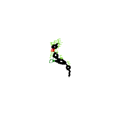 CCCCc1ccc(-c2cc(F)c(-c3cc(F)c(C(F)(F)Oc4cc(F)c(C(F)(F)F)c(F)c4)c(F)c3)c(Cl)c2)c(F)c1